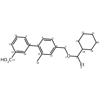 CCC(OCc1ccc(-c2cccc(C(=O)O)c2)c(C)c1)C1CCCCC1